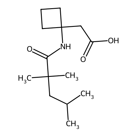 CC(C)CC(C)(C)C(=O)NC1(CC(=O)O)CCC1